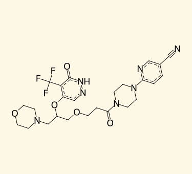 N#Cc1ccc(N2CCN(C(=O)CCOCC(CN3CCOCC3)Oc3cn[nH]c(=O)c3C(F)(F)F)CC2)nc1